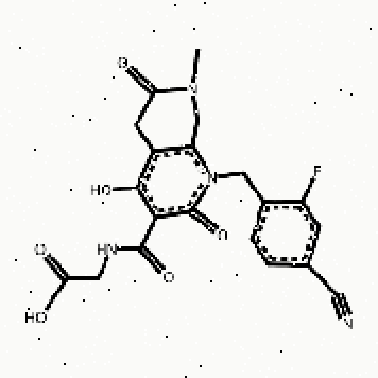 CN1Cc2c(c(O)c(C(=O)NCC(=O)O)c(=O)n2Cc2ccc(C#N)cc2F)CC1=O